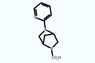 O=C(O)N1CC2CC1CN2c1ccccn1